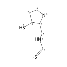 S=CNCC1[N]CCC1S